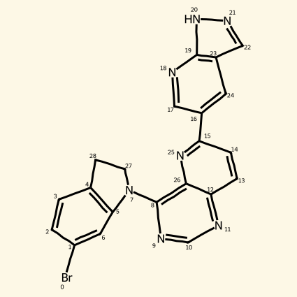 Brc1ccc2c(c1)N(c1ncnc3ccc(-c4cnc5[nH]ncc5c4)nc13)CC2